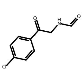 O=CNCC(=O)c1ccc(Cl)cc1